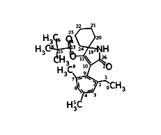 CCc1cc(C)cc(C)c1C1=C(OC(=O)C(C)(C)C)C2(CCCCC2)NC1=O